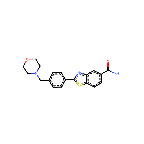 NC(=O)c1ccc2sc(-c3ccc(CN4CCOCC4)cc3)nc2c1